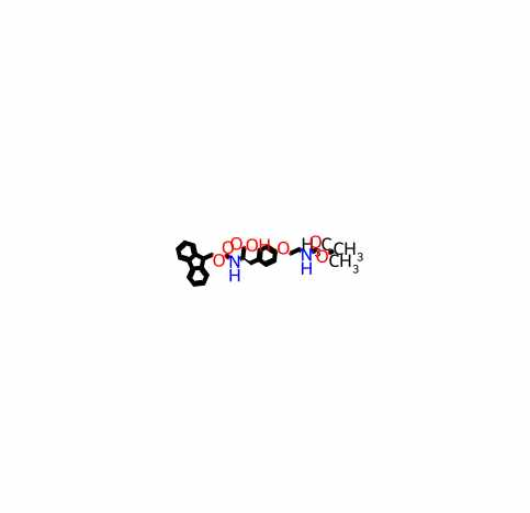 CC(C)(C)OC(=O)NCCOc1ccc(C[C@@H](NC(=O)OCC2c3ccccc3-c3ccccc32)C(=O)O)cc1